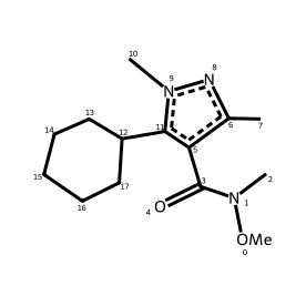 CON(C)C(=O)c1c(C)nn(C)c1C1CCCCC1